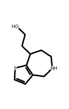 OCCC1CCNCc2ccsc21